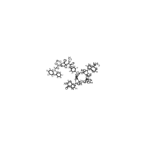 CC(C)[C@H](NC(=O)OCC1c2ccccc2-c2ccccc21)C(=O)N[C@@H](C)C(=O)Nc1ccc(CSP2(=O)OC[C@H]3O[C@@H](n4cnc5c(N)ncnc54)[C@H](F)[C@@H]3OP(=O)(O)OC[C@H]3O[C@@H](n4cnc5c(=O)[nH]cnc54)C[C@@H]32)cc1